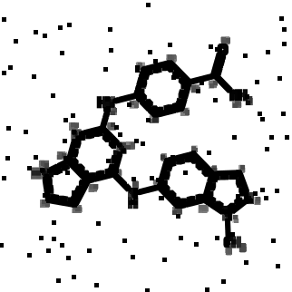 Cn1ncc2ccc(Nc3nc(Nc4ccc(C(N)=O)cc4)nc4[nH]ccc34)cc21